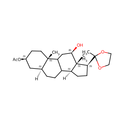 CC(=O)O[C@H]1CC[C@]2(C)C3C[C@@H](O)[C@]4(C)[C@@H](C5(C)OCCO5)CC[C@H]4C3CC[C@H]2C1